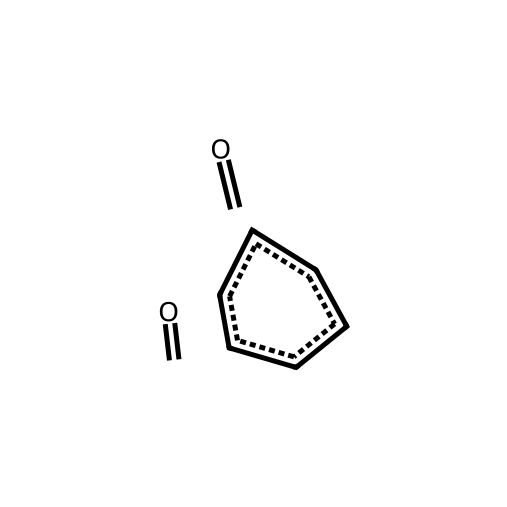 C=O.C=O.c1ccccc1